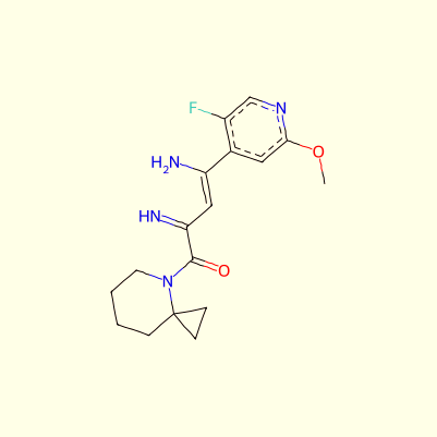 COc1cc(/C(N)=C/C(=N)C(=O)N2CCCCC23CC3)c(F)cn1